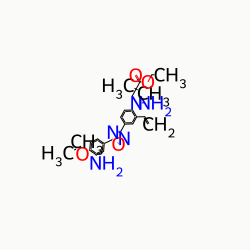 C=Cc1cc(-c2noc(-c3ccc(OC(C)C)c(N)c3)n2)ccc1N(N)CC(C)(C)C(=O)OCC